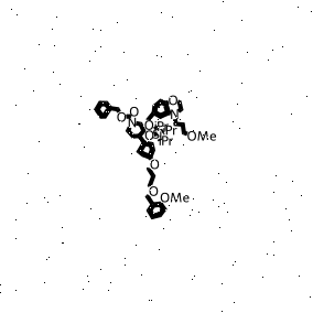 COCCCN1CCOc2ccc(COC3(O[Si](C(C)C)(C(C)C)C(C)C)CN(C(=O)OCc4ccccc4)CCC3c3ccc(OCCCOCc4ccccc4OC)cc3)cc21